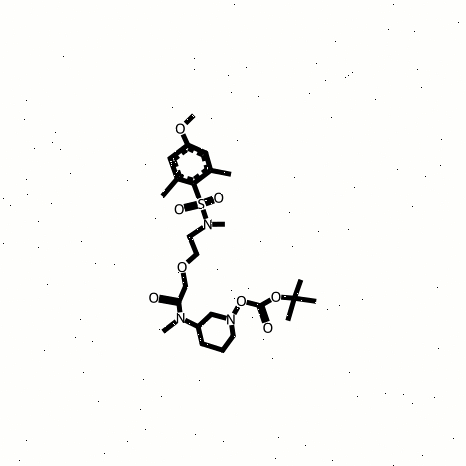 COc1cc(C)c(S(=O)(=O)N(C)CCOCC(=O)N(C)C2CCCN(OC(=O)OC(C)(C)C)C2)c(C)c1